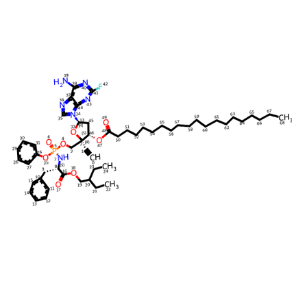 C#C[C@]1(COP(=O)(N[C@@H](Cc2ccccc2)C(=O)OCC(CC)CC)Oc2ccccc2)O[C@@H](n2cnc3c(N)nc(F)nc32)C[C@@H]1OC(=O)CCCCCCCCCCCCCCCCCCC